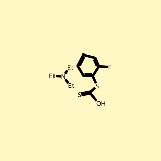 CCN(CC)CC.OC(=S)Sc1ccccc1F